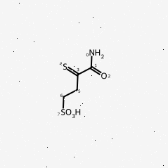 NC(=O)C(=S)CCS(=O)(=O)O